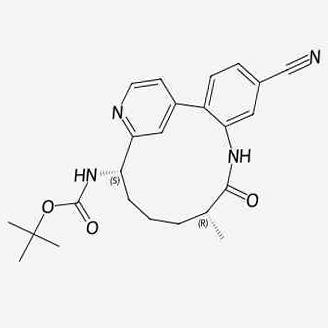 C[C@@H]1CCC[C@H](NC(=O)OC(C)(C)C)c2cc(ccn2)-c2ccc(C#N)cc2NC1=O